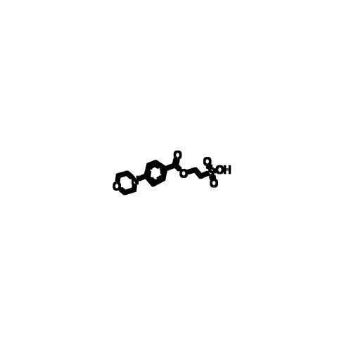 O=C(OCCS(=O)(=O)O)c1ccc(N2CCOCC2)cc1